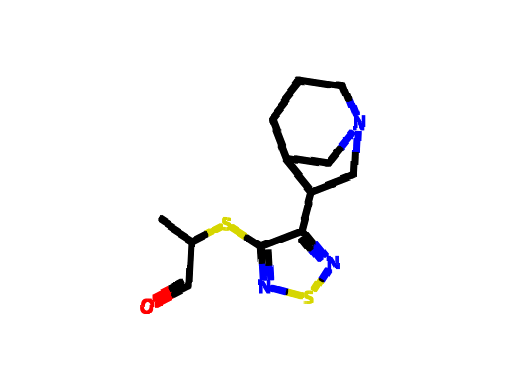 CC(C=O)Sc1nsnc1C1CN2CCCC1C2